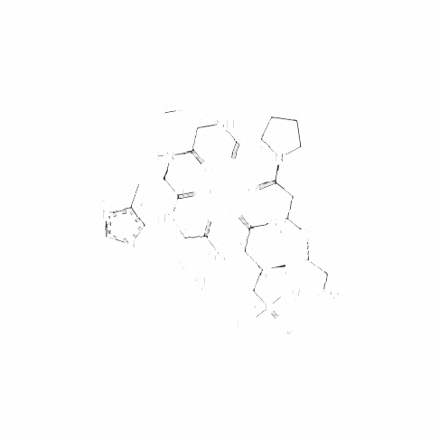 COCCOCCC(=O)N1CCC[C@H]1C(=O)N[C@@H](CC(C)C)C(=O)N[C@@H](Cc1cnc[nH]1)C(=O)N[C@@H](CO)C(=O)N[C@H](C(N)=O)[C@@H](C)CP(=O)(O)O